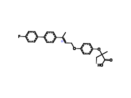 CCC(C)(Oc1ccc(OC/C=C(\C)c2ccc(-c3ccc(F)cc3)cc2)cc1)C(=O)O